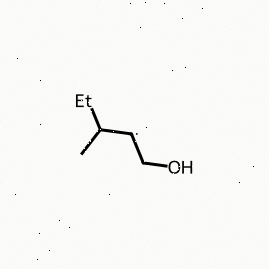 CCC(C)[CH]CO